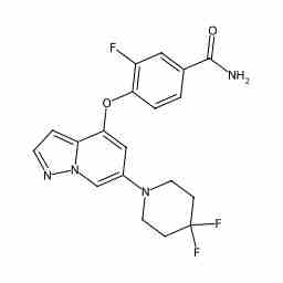 NC(=O)c1ccc(Oc2cc(N3CCC(F)(F)CC3)cn3nccc23)c(F)c1